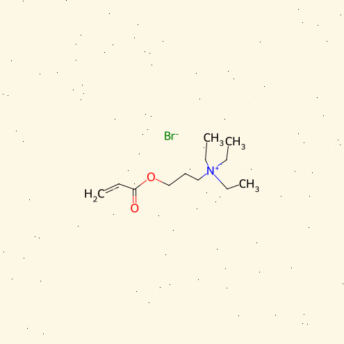 C=CC(=O)OCCC[N+](CC)(CC)CC.[Br-]